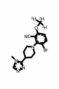 [2H]C([2H])([2H])Oc1ccc(Br)c(N2CCC(c3nncn3C)CC2)c1C#N